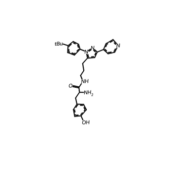 CC(C)(C)c1ccc(-n2nc(-c3ccncc3)cc2CCCNC(=O)C(N)Cc2ccc(O)cc2)cc1